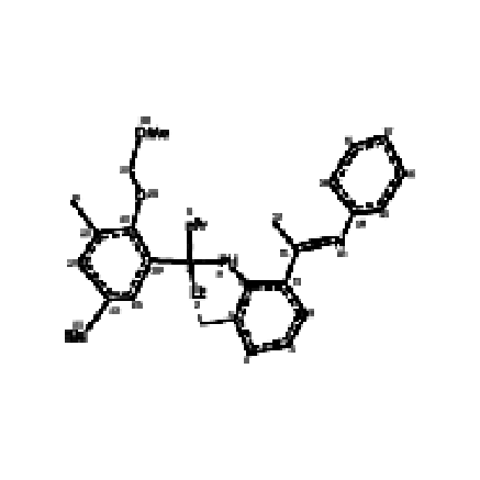 CCCC(CC)(Pc1c(C)cccc1/C(C)=N/c1ccccc1)c1cc(C(C)(C)C)cc(C)c1OCOC